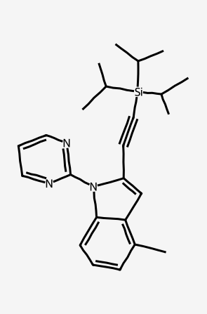 Cc1cccc2c1cc(C#C[Si](C(C)C)(C(C)C)C(C)C)n2-c1ncccn1